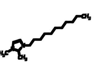 CCCCCCCCCCCN1C=CN(C)C1C